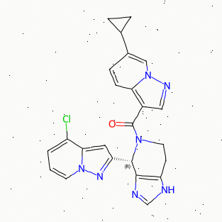 O=C(c1cnn2cc(C3CC3)ccc12)N1CCc2[nH]cnc2[C@@H]1c1cc2c(Cl)cccn2n1